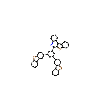 c1ccc2c(c1)nc(-c1cc(-c3ccc4sc5ccccc5c4c3)cc(-c3ccc4sc5ccccc5c4c3)c1)c1sc3ccccc3c12